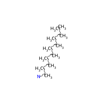 CC(C)=CCCC(C)=CCCC(C)=CCCC(C)=CCCC(C)=CCCC(C)=CCCC(C)=CCCC(C)=CCCC(C)=CCCC(C)CCC#N